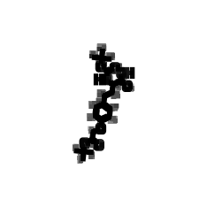 CC(C)(C)OC(=O)COc1ccc(CCC(NC(=O)OC(C)(C)C)C(=O)O)cc1